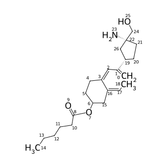 C=C(/C=C1/CCC(OC(=O)CCCCC)C/C1=C/C)[C@H]1CC[C@](N)(CO)C1